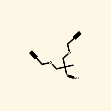 C#CCOCC(C)(COCC#C)N=N